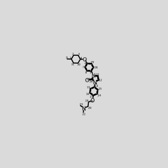 CC1CCC(Oc2ccc(-n3ccn(-c4ccc(OCCN(C)C)cc4)c3=O)cc2)CC1